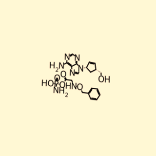 NP(=O)(O)OC(=O)CNOCc1ccccc1.Nc1ncnc2c1ncn2[C@@H]1C=C[C@H](CO)C1